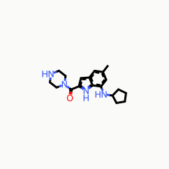 Cc1cc(NC2CCCC2)c2[nH]c(C(=O)N3CCNCC3)cc2c1